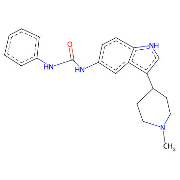 CN1CCC(c2c[nH]c3ccc(NC(=O)Nc4ccccc4)cc23)CC1